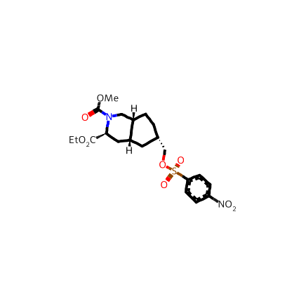 CCOC(=O)[C@@H]1C[C@H]2C[C@@H](COS(=O)(=O)c3ccc([N+](=O)[O-])cc3)CC[C@H]2CN1C(=O)OC